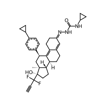 C#CC(F)(F)[C@]1(O)CC[C@H]2[C@@H]3CCC4=CC(=NNC(=O)NC5CC5)CCC4=C3[C@H](c3ccc(C4CC4)cc3)C[C@@]21C